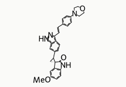 COc1ccc2c(c1)[C@]1(CC1c1ccc3c(/C=C/c4ccc(N5CCOCC5)cc4)n[nH]c3c1)C(=O)N2